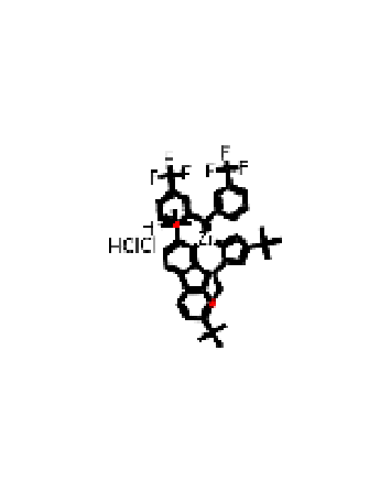 CCCC1C=C(C(C)(C)C)C=[C]1[Zr](=[C](c1cccc(C(F)(F)F)c1)c1cccc(C(F)(F)F)c1)[c]1c(C(C)(C)C)ccc2c1Cc1cc(C(C)(C)C)ccc1-2.Cl.Cl